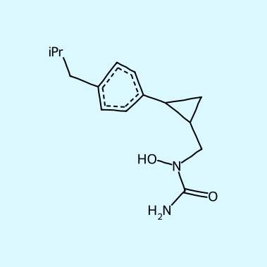 CC(C)Cc1ccc(C2CC2CN(O)C(N)=O)cc1